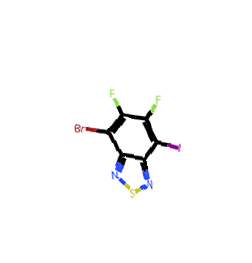 Fc1c(F)c(I)c2nsnc2c1Br